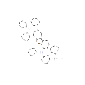 CC1(C)c2ccccc2-c2c(N(c3ccccc3)c3cccc4c3sc3cc(C5(c6ccccc6)c6ccccc6-c6ccccc65)ccc34)cccc21